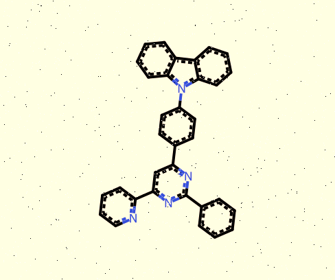 c1ccc(-c2nc(-c3ccc(-n4c5ccccc5c5ccccc54)cc3)cc(-c3ccccn3)n2)cc1